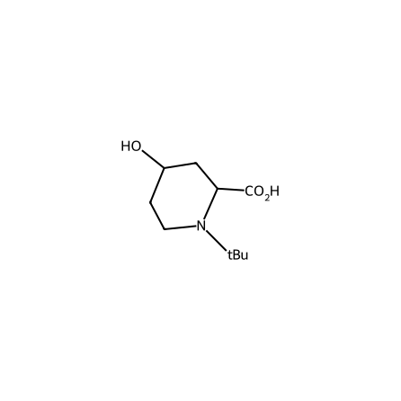 CC(C)(C)N1CCC(O)CC1C(=O)O